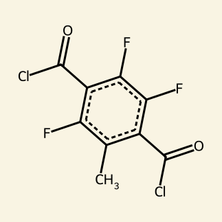 Cc1c(F)c(C(=O)Cl)c(F)c(F)c1C(=O)Cl